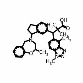 Cc1c(C(c2ccc3c(c2)C(N2Cc4ccccc4OC(C)C2)CC3)C(C)(C)C(=O)O)ccc2c1nnn2C